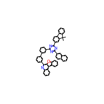 CC1(C)c2ccccc2-c2ccc(-c3nc(-c4cccc(-c5cccc(-c6nc7ccccc7c7c6oc6ccccc67)c5)c4)nc(-c4ccc5ccccc5c4)n3)cc21